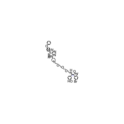 CN1C(=O)/C(=C(\NCCOCCOCCOCCN2CCC(Nc3ncnc(N)c3C(=N)c3ccc(Oc4ccccc4)cc3)CC2)c2cccc(O)c2)c2cc(Br)ccc21